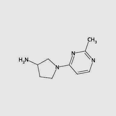 Cc1nccc(N2CCC(N)C2)n1